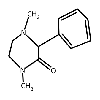 CN1CCN(C)C(c2ccccc2)C1=O